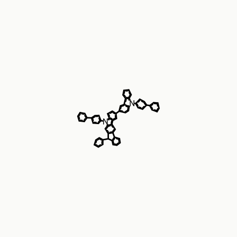 c1ccc(-c2ccc(-n3c4ccccc4c4cc(-c5ccc6c(c5)c5cc7c(cc5n6-c5ccc(-c6ccccc6)cc5)C(c5ccccc5)c5ccccc5-7)ccc43)cc2)cc1